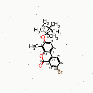 Cc1c(O[Si](C)(C)C(C)(C)C)ccc2c1oc(=O)c1cc(Br)ccc12